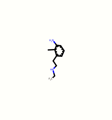 Cc1c(N)cccc1CCNCC(F)(F)F